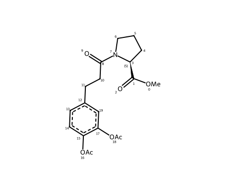 COC(=O)[C@@H]1CCCN1C(=O)CCc1ccc(OC(C)=O)c(OC(C)=O)c1